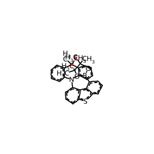 CC1(C)c2ccccc2N(c2cccc3sc4cccc(B5OC(C)(C)C(C)(C)O5)c4c23)c2ccccc21